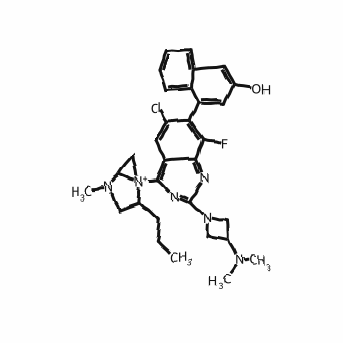 CCCC1CN(C)C2C[N+]12c1nc(N2CC(N(C)C)C2)nc2c(F)c(-c3cc(O)cc4ccccc34)c(Cl)cc12